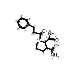 NC(=O)C1CCCN(C(=O)[CH]Cc2ccccc2)C1C(N)=O